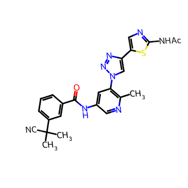 CC(=O)Nc1ncc(-c2cn(-c3cc(NC(=O)c4cccc(C(C)(C)C#N)c4)cnc3C)nn2)s1